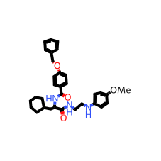 COc1ccc(NCCNC(=O)C(CC2CCCCC2)NC(=O)c2ccc(OCc3ccccc3)cc2)cc1